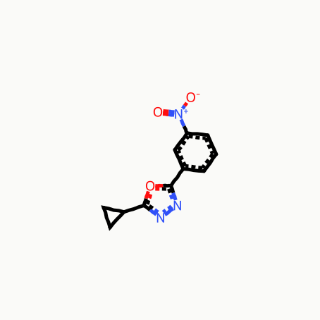 O=[N+]([O-])c1cccc(-c2nnc(C3CC3)o2)c1